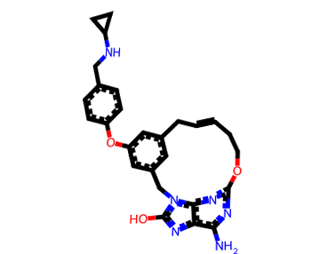 Nc1nc2nc3c1nc(O)n3Cc1cc(cc(Oc3ccc(CNC4CC4)cc3)c1)C/C=C/CCO2